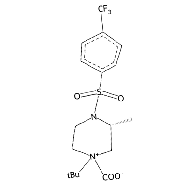 C[C@@H]1C[N+](C(=O)[O-])(C(C)(C)C)CCN1S(=O)(=O)c1ccc(C(F)(F)F)cc1